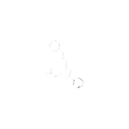 CC(C)CCOC(CNCCCN1CCCCC1)c1ccccc1